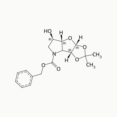 CC1(C)O[C@H]2O[C@@H]3C([C@H]2O1)N(C(=O)OCc1ccccc1)C[C@H]3O